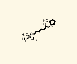 C[Si](C)(C)OCCCCCC(O)C[C@H]1C=CC[C@H]1O